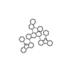 c1ccc(-c2c(-c3c4cccc(-c5cccc6c7ccccc7n(-c7ccccc7)c56)c4cc4c(-c5cccc6c7ccccc7n(-c7ccccc7)c56)cccc34)ccc3ccccc23)cc1